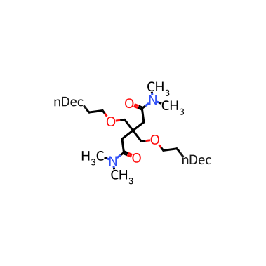 CCCCCCCCCCCCOCC(COCCCCCCCCCCCC)(CC(=O)N(C)C)CC(=O)N(C)C